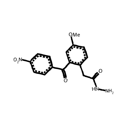 COc1ccc(CC(=O)NN)c(C(=O)c2ccc([N+](=O)[O-])cc2)c1